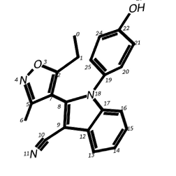 CCc1onc(C)c1-c1c(C#N)c2ccccc2n1-c1ccc(O)cc1